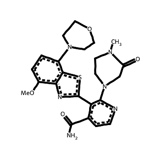 COc1ccc(N2CCOCC2)c2sc(-c3c(C(N)=O)ccnc3N3CCN(C)C(=O)C3)nc12